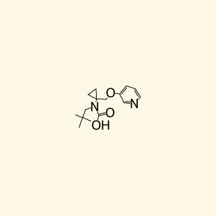 CC(C)(C)CN(C(=O)O)C1(COc2cccnc2)CC1